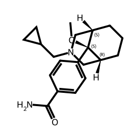 CO[C@]1(c2ccc(C(N)=O)cc2)[C@@H]2CCC[C@H]1CN(CC1CC1)C2